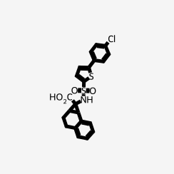 O=C(O)C1(NS(=O)(=O)c2ccc(-c3ccc(Cl)cc3)s2)C2CCc3ccccc3C21